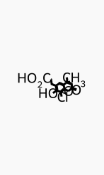 Cc1cc(=O)oc2c(Cl)c(O)c(CCC(=O)O)cc12